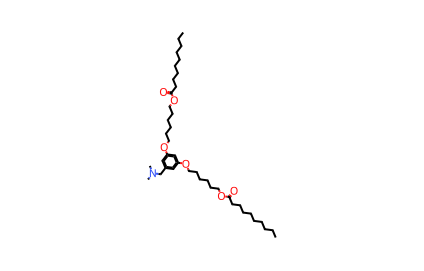 CCCCCCCCCC(=O)OCCCCCCOc1cc(CN(C)C)cc(OCCCCCCOC(=O)CCCCCCCCC)c1